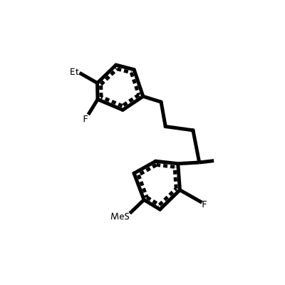 CCc1ccc(CCCC(C)c2ccc(SC)cc2F)cc1F